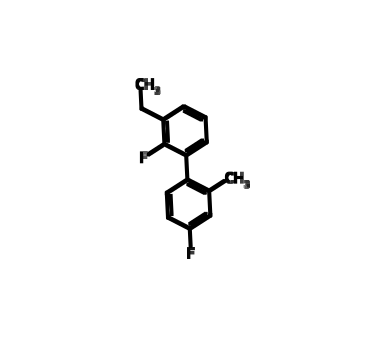 CCc1cccc(-c2ccc(F)cc2C)c1F